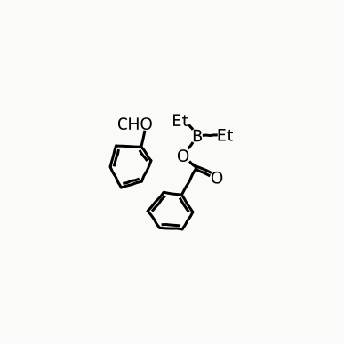 CCB(CC)OC(=O)c1ccccc1.O=Cc1ccccc1